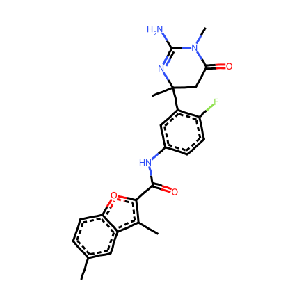 Cc1ccc2oc(C(=O)Nc3ccc(F)c(C4(C)CC(=O)N(C)C(N)=N4)c3)c(C)c2c1